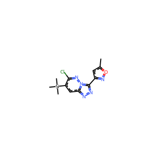 Cc1cc(-c2nnc3cc([Si](C)(C)C)c(Cl)nn23)no1